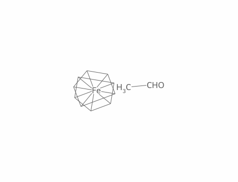 CC=O.[CH]12[CH]3[CH]4[CH]5[CH]1[Fe]23451678[CH]2[CH]1[CH]6[CH]7[CH]28